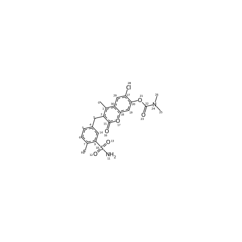 Cc1c(Cc2ccc(F)c(S(N)(=O)=O)c2)c(=O)oc2cc(OC(=O)N(C)C)c(Cl)cc12